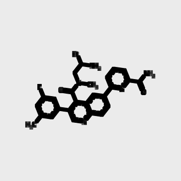 CCC(N)CN(C)C(=O)c1c(-c2cc(C)cc(F)c2)cnc2ccc(-c3cccc(C(N)=O)n3)cc12